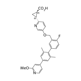 COc1cc(-c2cc(C)c(-c3ccc(F)c(COc4ccc([C@@H]5C[C@H]5C(=O)O)nc4)c3)c(C)c2)ccn1